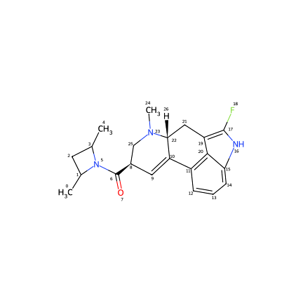 CC1CC(C)N1C(=O)[C@@H]1C=C2c3cccc4[nH]c(F)c(c34)C[C@H]2N(C)C1